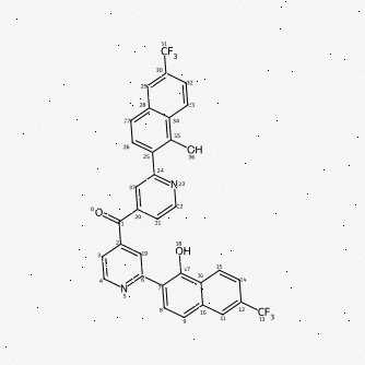 O=C(c1ccnc(-c2ccc3cc(C(F)(F)F)ccc3c2O)c1)c1ccnc(-c2ccc3cc(C(F)(F)F)ccc3c2O)c1